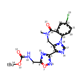 CN1Cc2c(-c3noc(CNC(=O)OC(C)(C)C)n3)ncn2-c2ccc(F)cc2C1=O